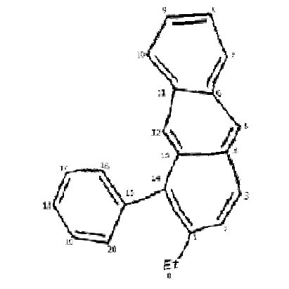 CCc1ccc2cc3ccccc3cc2c1-c1ccccc1